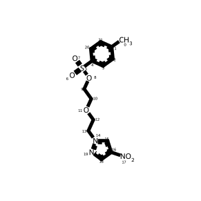 Cc1ccc(S(=O)(=O)OCCOCCn2cc([N+](=O)[O-])cn2)cc1